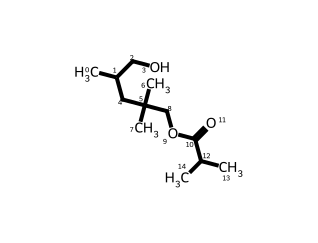 CC(CO)CC(C)(C)COC(=O)C(C)C